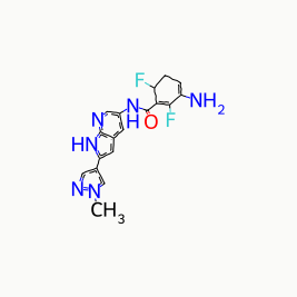 Cn1cc(-c2cc3cc(NC(=O)C4=C(F)C(N)=CCC4F)cnc3[nH]2)cn1